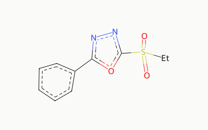 CCS(=O)(=O)c1nnc(-c2ccccc2)o1